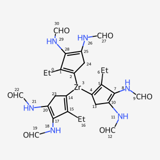 CCC1=[C]([Zr]([C]2=C(CC)C(NC=O)=C(NC=O)C2)[C]2=C(CC)C(NC=O)=C(NC=O)C2)CC(NC=O)=C1NC=O